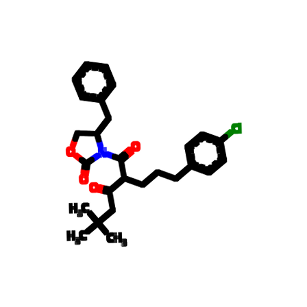 CC(C)(C)CC(=O)C(CCCc1ccc(Cl)cc1)C(=O)N1C(=O)OCC1Cc1ccccc1